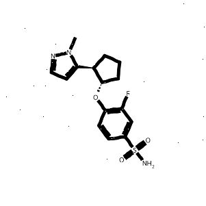 Cn1nccc1[C@H]1CCC[C@@H]1Oc1ccc(S(N)(=O)=O)cc1F